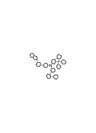 c1ccc(-c2ccccc2-c2cccc(N(c3ccc(-c4cccc(-c5ccc6ccccc6c5)c4)cc3)c3ccc4c(c3)C(c3ccccc3)(c3ccccc3)c3ccccc3-4)c2)cc1